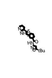 CC(C)(C)c1cc(NC(=O)c2ccc3sc(-c4cccnc4N)cc3c2)no1